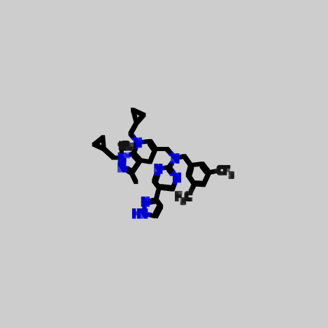 CC1=N[N+](CC2CC2)(C(C)(C)C)C2=C1CC(CN(Cc1cc(C(F)(F)F)cc(C(F)(F)F)c1)c1ncc(-c3cc[nH]n3)cn1)=CN2CC1CC1